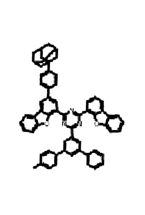 Cc1ccc(-c2cc(-c3ccccc3)cc(-c3nc(-c4cccc5c4oc4ccccc45)nc(-c4cc(-c5ccc(C67CC8CC(CC(C8)C6)C7)cc5)cc5c4oc4ccccc45)n3)c2)cc1